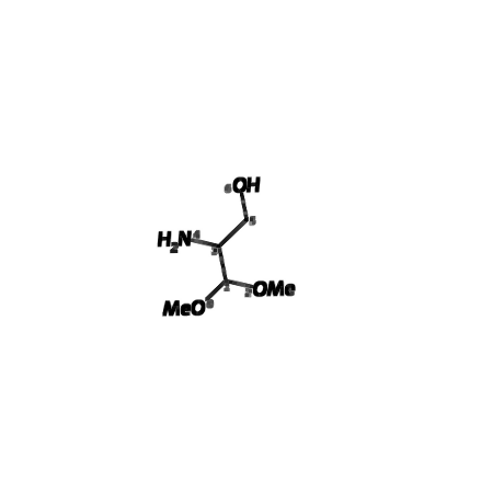 COC(OC)C(N)CO